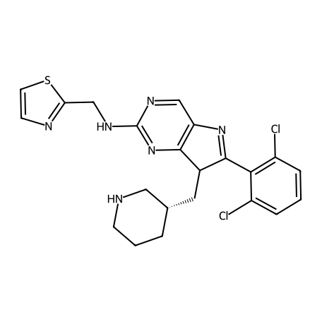 Clc1cccc(Cl)c1C1=Nc2cnc(NCc3nccs3)nc2C1C[C@@H]1CCCNC1